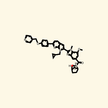 COc1cc(C(=O)N2CC3CCC2[C@@H]3N)cc2nc(-c3cc4ccc(-c5ccc(OCc6ccncc6)cc5)nc4n3CC3CC3)n(C)c12